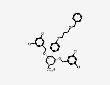 O=C(O)N1C[C@H](OCc2cc(Cl)cc(Cl)c2)[C@H](c2ccc(OCCCOCc3ccccc3)cc2)[C@H](OCc2cc(Cl)cc(Cl)c2)C1